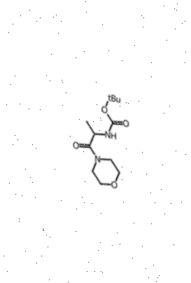 CC(NC(=O)OC(C)(C)C)C(=O)N1CCOCC1